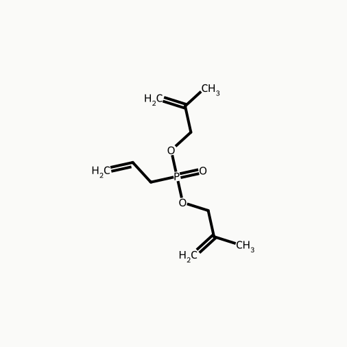 C=CCP(=O)(OCC(=C)C)OCC(=C)C